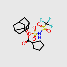 O=C(OC12CC3CC(C1)C(OS(=O)(=O)NS(=O)(=O)C(F)(F)F)C(C3)C2)C1CCCC1